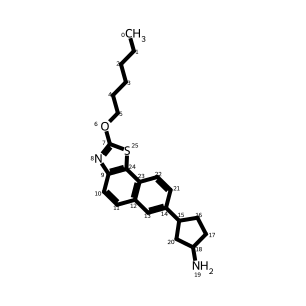 CCCCCCOc1nc2ccc3cc(C4CCC(N)C4)ccc3c2s1